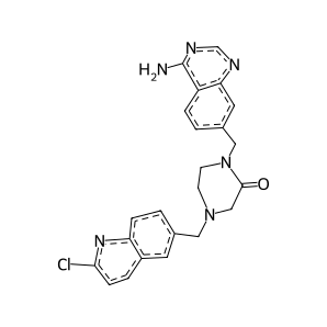 Nc1ncnc2cc(CN3CCN(Cc4ccc5nc(Cl)ccc5c4)CC3=O)ccc12